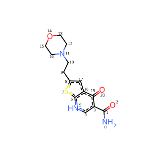 NC(=O)c1c[nH]c2sc(CCN3CCOCC3)cc2c1=O